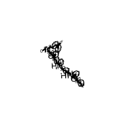 CCN(CCOC(C)=O)CCOC(=O)COCC(=O)NCCOCCNC(=O)OCCOC